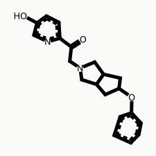 O=C(CN1CC2CC(Oc3ccccc3)CC2C1)c1ccc(O)cn1